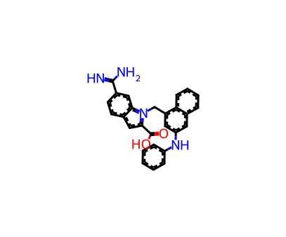 N=C(N)c1ccc2cc(C(=O)O)n(Cc3cc(Nc4ccccc4)cc4ccccc34)c2c1